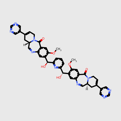 COc1cc2c(cc1[C@H](O)c1cccc([C@@H](O)c3cc4c(cc3OC)C(=O)N3CC=C(c5cncnc5)C[C@H]3C=N4)n1)N=C[C@@H]1CC(c3cncnc3)=CCN1C2=O